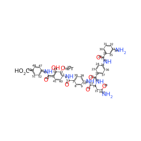 CC(C)Oc1c(NC(=O)c2ccc(NC(=O)C(CC(N)=O)NC(=O)c3ccc(NC(=O)c4cccc(N)c4)cc3)cc2)ccc(C(=O)Nc2ccc(C(=O)O)cc2)c1O